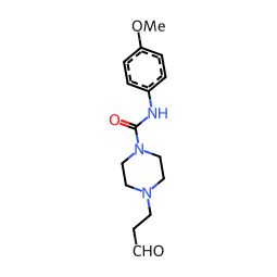 COc1ccc(NC(=O)N2CCN(CCC=O)CC2)cc1